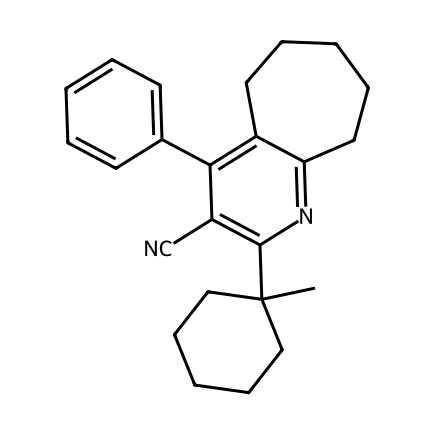 CC1(c2nc3c(c(-c4ccccc4)c2C#N)CCCCC3)CCCCC1